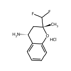 C[C@]1(C(F)F)C[C@@H](N)c2ccccc2O1.Cl